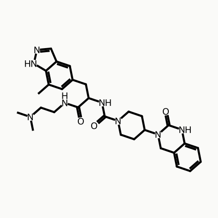 Cc1cc(CC(NC(=O)N2CCC(N3Cc4ccccc4NC3=O)CC2)C(=O)NCCN(C)C)cc2cn[nH]c12